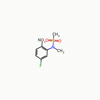 CN(c1cc(F)ccc1[N+](=O)[O-])S(C)(=O)=O